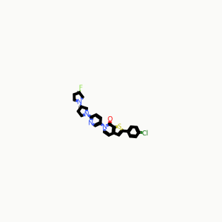 O=c1c2sc(-c3ccc(Cl)cc3)cc2ccn1-c1ccc(N2CC[C@@H](N3CC[C@@H](F)C3)C2)nc1